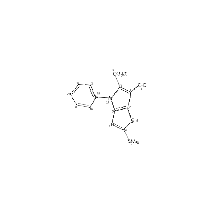 CCOC(=O)c1c(C=O)c2sc(SC)nc2n1-c1ccccc1